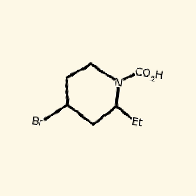 CCC1CC(Br)CCN1C(=O)O